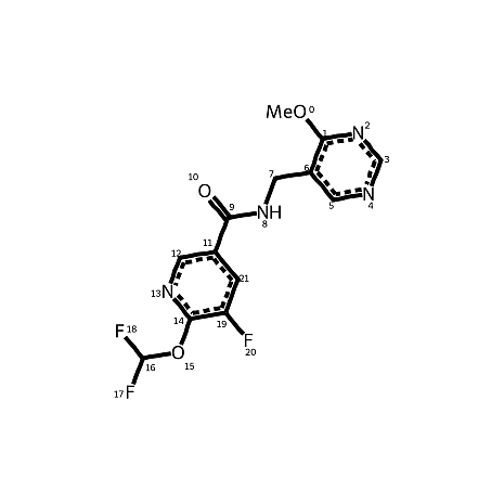 COc1ncncc1CNC(=O)c1cnc(OC(F)F)c(F)c1